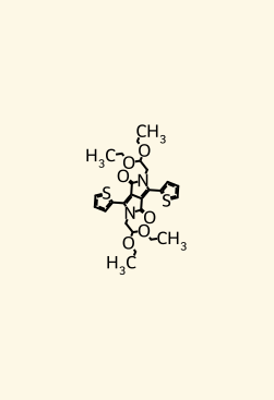 CCOC(CN1C(=O)C2=C(c3cccs3)N(CC(OCC)OCC)C(=O)C2=C1c1cccs1)OCC